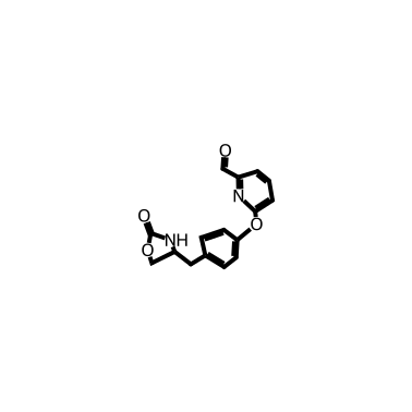 O=Cc1cccc(Oc2ccc(CC3COC(=O)N3)cc2)n1